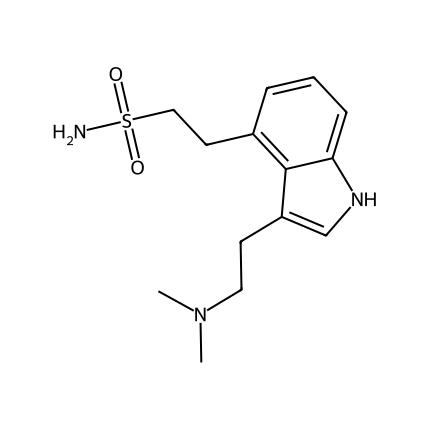 CN(C)CCc1c[nH]c2cccc(CCS(N)(=O)=O)c12